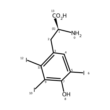 N[C@@H](Cc1cc(I)c(O)c(I)c1I)C(=O)O